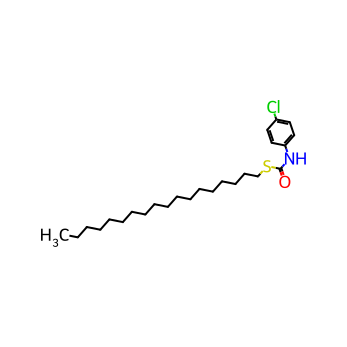 CCCCCCCCCCCCCCCCCCSC(=O)Nc1ccc(Cl)cc1